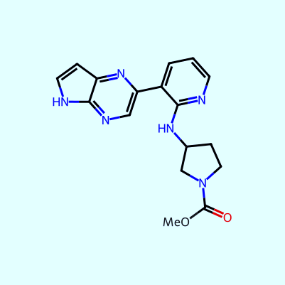 COC(=O)N1CCC(Nc2ncccc2-c2cnc3[nH]ccc3n2)C1